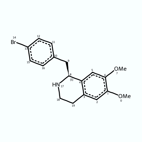 COc1cc2c(cc1OC)[C@H](Cc1ccc(Br)cc1)NCC2